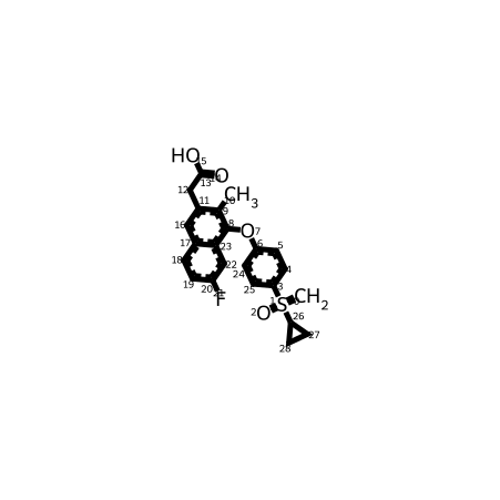 C=S(=O)(c1ccc(Oc2c(C)c(CC(=O)O)cc3ccc(F)cc23)cc1)C1CC1